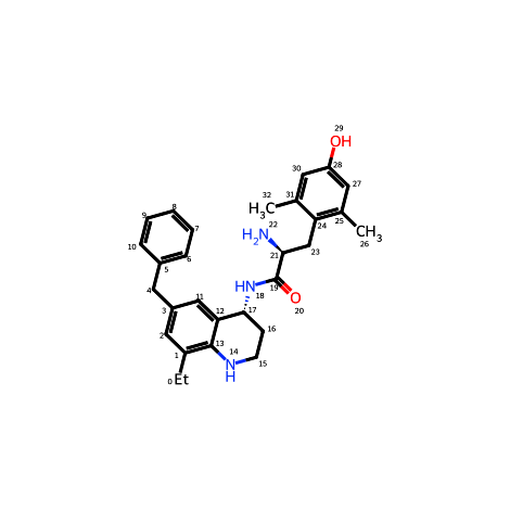 CCc1cc(Cc2ccccc2)cc2c1NCC[C@H]2NC(=O)[C@@H](N)Cc1c(C)cc(O)cc1C